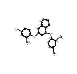 Nc1ccc(Oc2cc(Oc3ccc(N)cc3N)c3ccccc3c2)c(N)c1